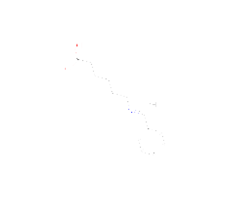 [2H]C(=NCCCCCC(=O)O)c1ccccc1